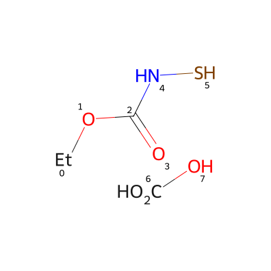 CCOC(=O)NS.O=C(O)O